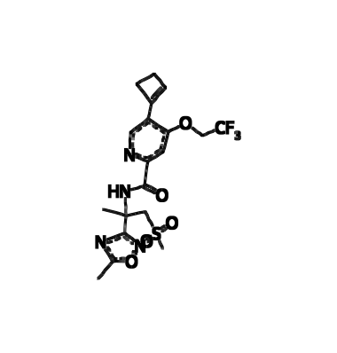 Cc1nc(C(C)(CS(C)(=O)=O)NC(=O)c2cc(OCC(F)(F)F)c(C3=CCC3)cn2)no1